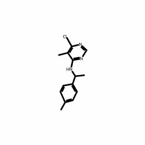 Cc1ccc(C(C)Nc2ncnc(Cl)c2C)cc1